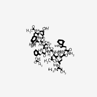 CC(=O)O.CN=C(N)NCCC[C@H](NC(=O)[C@H](CC(C)C)NC(=O)NNC(=O)[C@H](Cc1ccccc1)NC(=O)[C@@H](NC(=O)[C@H](CC(N)=O)NC(=O)[C@@H]1C[C@@H](O)CN1C(=O)[C@@H](Cc1ccc(O)cc1)NC(C)=O)[C@@H](C)O)C(=O)N[C@@H](Cc1c[nH]c2ccccc12)C(N)=O